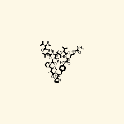 CC[C@H](C)[C@@H]([C@@H](CC(=O)N1CCC[C@H]1[C@H](OC)[C@@H](C)C(=O)N[C@@H](Cc1ccc(NC(=O)[C@H](CCCNC(N)=O)NC(=O)[C@@H](N)C(C)C)cc1)c1nccs1)OC)N(C)C(=O)[C@@H](NC(=O)[C@H](C(C)C)N(C)C)C(C)C